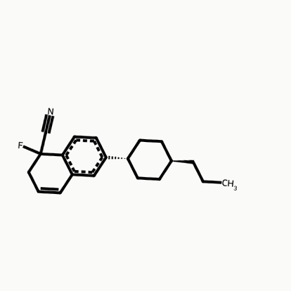 CCC[C@H]1CC[C@H](c2ccc3c(c2)C=CCC3(F)C#N)CC1